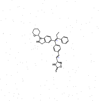 CC/C(=C(/c1ccc(/C=C/c2noc(=S)[nH]2)cc1)c1ccc2c(c1)CNN2C1CCCCO1)c1ccccc1